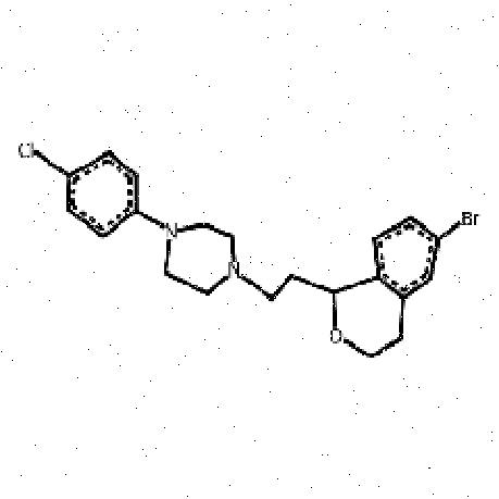 Clc1ccc(N2CCN(CCC3OCCc4cc(Br)ccc43)CC2)cc1